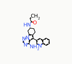 C=CC(=O)N[C@@H]1CCc2c(-c3cnc4ccccc4c3)c3c(N)ncnn3c2C1